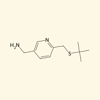 CC(C)(C)SCc1ccc(CN)cn1